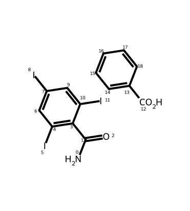 NC(=O)c1c(I)cc(I)cc1I.O=C(O)c1ccccc1